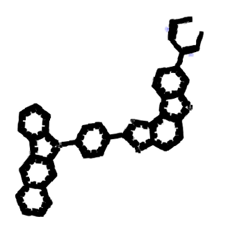 C/C=C\C(=C/C)c1ccc2c(c1)oc1ccc3nc(-c4ccc(-n5c6ccccc6c6cc7ccccc7cc65)cc4)sc3c12